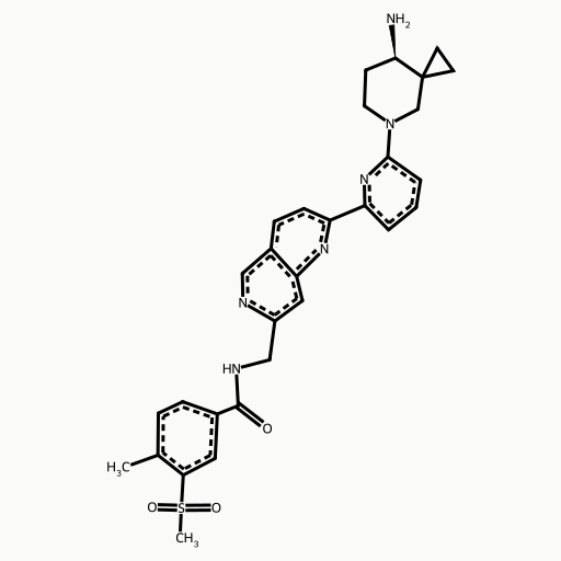 Cc1ccc(C(=O)NCc2cc3nc(-c4cccc(N5CC[C@@H](N)C6(CC6)C5)n4)ccc3cn2)cc1S(C)(=O)=O